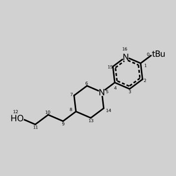 CC(C)(C)c1ccc(N2CCC(CCCO)CC2)cn1